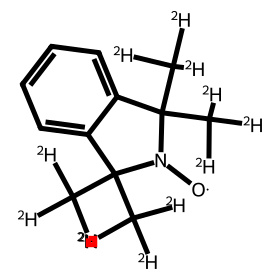 [2H]C([2H])([2H])C1(C([2H])([2H])[2H])c2ccccc2C(C([2H])([2H])[2H])(C([2H])([2H])[2H])N1[O]